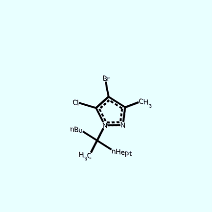 CCCCCCCC(C)(CCCC)n1nc(C)c(Br)c1Cl